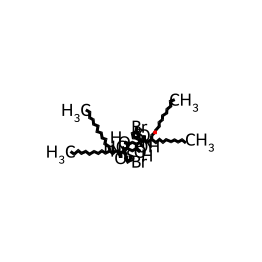 CCCCCCCCCCCCC(CCCCCCCCCC)CNC(=O)C(O)(c1ccc(Br)s1)C1CC(=O)C(C(O)(C(=O)NC(CCCCCCCCCC)CCCCCCCCCCCC)c2ccc(Br)s2)CC1=O